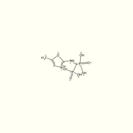 Cc1cnc(NC(P(=O)(O)O)P(=O)(O)O)o1